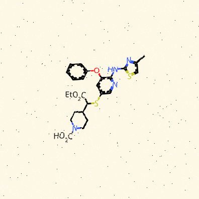 CCOC(=O)C(Sc1cnc(Nc2nc(C)cs2)c(Oc2ccccc2)c1)C1CCN(C(=O)O)CC1